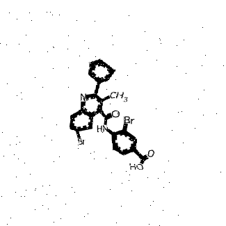 Cc1c(-c2ccccc2)nc2ccc(Br)cc2c1C(=O)Nc1ccc(C(=O)O)cc1Br